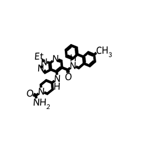 CCn1ncc2c(NC3CCN(C(N)=O)CC3)c(C(=O)NCc3ccc(C)cc3-c3ccccc3)cnc21